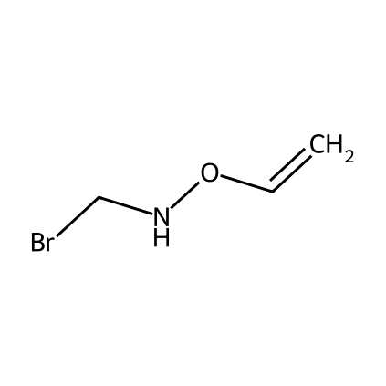 C=CONCBr